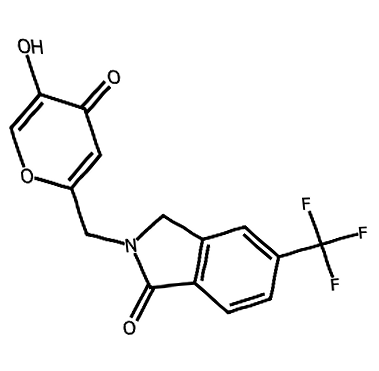 O=C1c2ccc(C(F)(F)F)cc2CN1Cc1cc(=O)c(O)co1